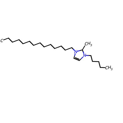 CCCCCCCCCCCCCCN1C=CN(CCCCC)C1C